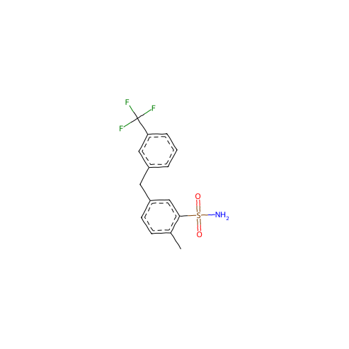 Cc1ccc(Cc2cccc(C(F)(F)F)c2)cc1S(N)(=O)=O